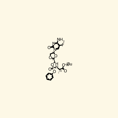 CC[C@@H](C)OC(=O)[C@H](C)NP(=O)(OC[C@H]1OC[C@@H](n2cc(F)c(N)nc2=O)O1)Oc1ccccc1